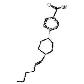 CCCC/C=C/[C@H]1CC[C@H](c2ccc(C(=O)O)cc2)CC1